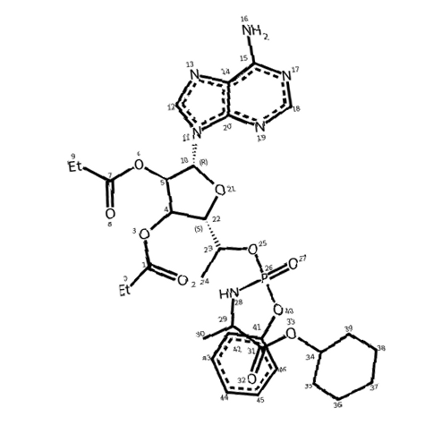 CCC(=O)OC1C(OC(=O)CC)[C@H](n2cnc3c(N)ncnc32)O[C@@H]1C(C)OP(=O)(NC(C)C(=O)OC1CCCCC1)Oc1ccccc1